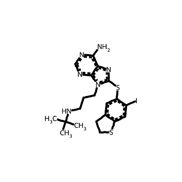 CC(C)(C)NCCCn1c(Sc2cc3c(cc2I)SCC3)nc2c(N)ncnc21